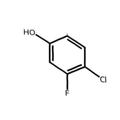 Oc1[c]cc(Cl)c(F)c1